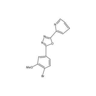 COc1cc(-c2nnc(-c3ccccn3)o2)ccc1Br